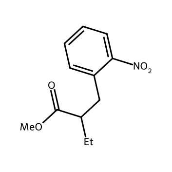 CCC(Cc1ccccc1[N+](=O)[O-])C(=O)OC